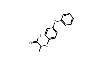 CC(Oc1ccc(Oc2ccccc2)cc1)C(=O)Cl